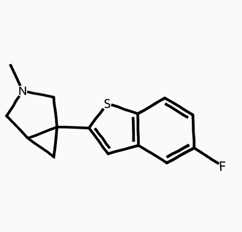 CN1CC2CC2(c2cc3cc(F)ccc3s2)C1